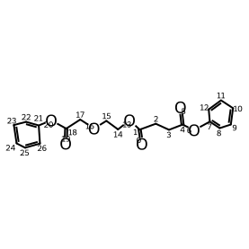 O=C(CCC(=O)Oc1ccccc1)OCCOCC(=O)Oc1ccccc1